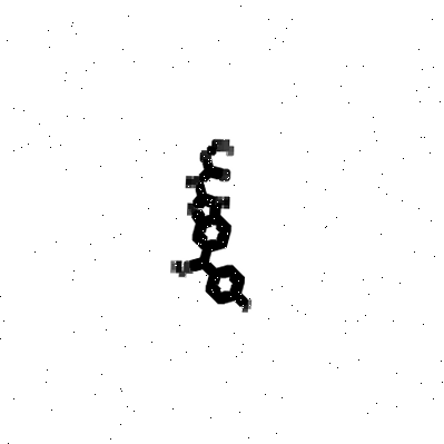 C=C(c1ccc(F)cc1)c1ccc2[nH]c(NC(=O)OC)nc2c1